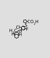 CC1(COc2cc(F)c(SC3CCCC3C(=O)O)cc2Cl)C[C@@H]2CCC[C@@H](C2)C1